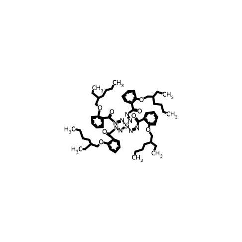 CCCCC(CC)COc1ccccc1C(=O)N=N[Si](N=NC(=O)c1ccccc1OCC(CC)CCCC)(N=NC(=O)c1ccccc1OCC(CC)CCCC)N=NC(=O)c1ccccc1OCC(CC)CCCC